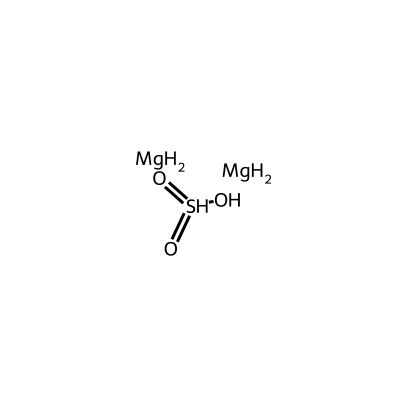 O=[SH](=O)O.[MgH2].[MgH2]